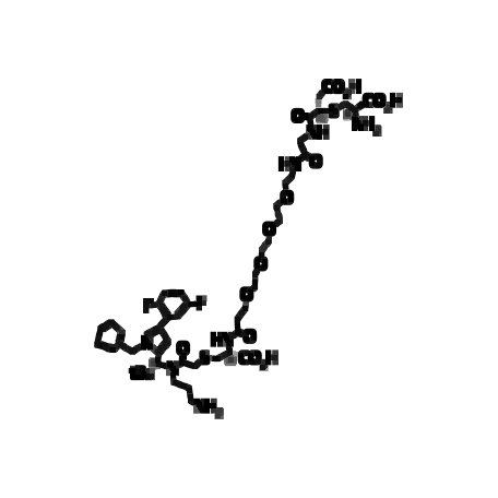 CC(C)(C)[C@H](c1cc(-c2cc(F)ccc2F)cn1Cc1ccccc1)N(CCCN)C(=O)CSC[C@H](NC(=O)CCOCCOCCOCCOCCNC(=O)CNC(=O)[C@H](CC(=O)O)SC[C@H](N)C(=O)O)C(=O)O